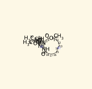 [2H]C([2H])([2H])N1CC(=O)OC(C)CC/C=C/CCCCC(=O)N/C1=N/C(=O)OC(C)(C)C